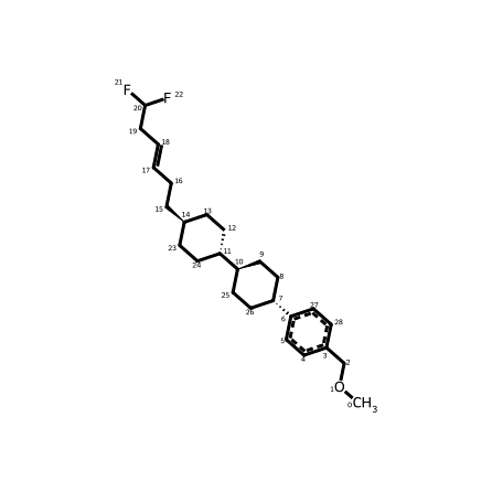 COCc1ccc([C@H]2CC[C@H]([C@H]3CC[C@H](CCC=CCC(F)F)CC3)CC2)cc1